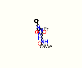 CCCN1C(=O)[C@H](CCCCNC(=O)COC)NC(=O)C12CCN(CCc1ccccc1)CC2